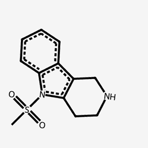 CS(=O)(=O)n1c2c(c3ccccc31)CNCC2